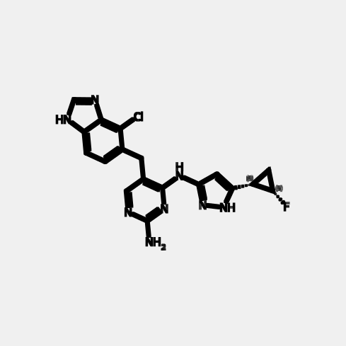 Nc1ncc(Cc2ccc3[nH]cnc3c2Cl)c(Nc2cc([C@@H]3C[C@@H]3F)[nH]n2)n1